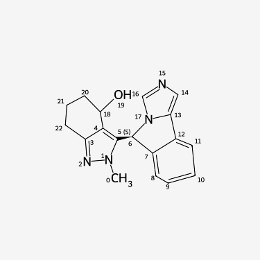 Cn1nc2c(c1[C@@H]1c3ccccc3-c3cncn31)C(O)CCC2